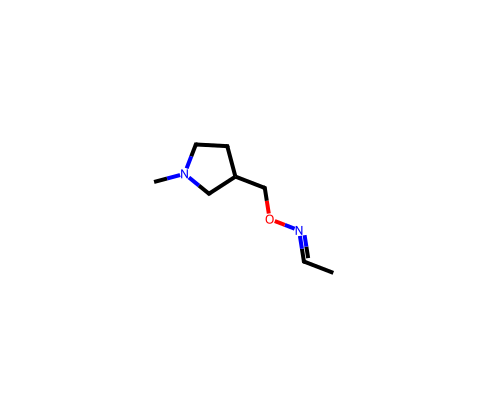 CC=NOCC1CCN(C)C1